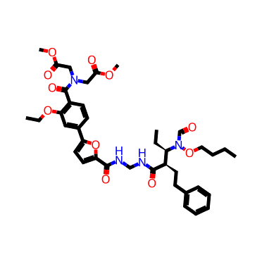 CCCCON(C=O)[C@H](CC)[C@@H](CCc1ccccc1)C(=O)NCNC(=O)c1ccc(-c2ccc(C(=O)N(CC(=O)OC)CC(=O)OC)c(OCC)c2)o1